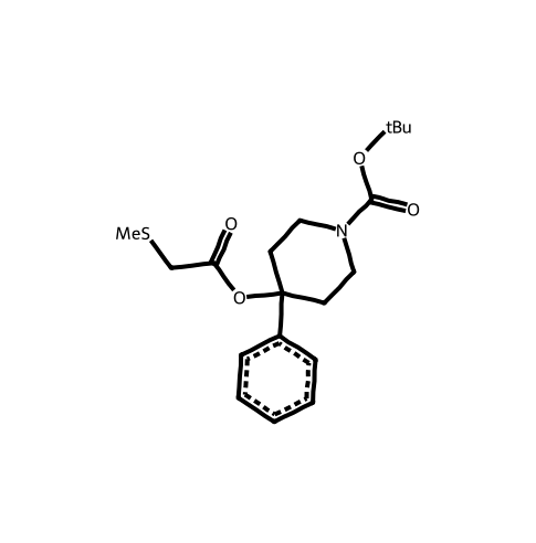 CSCC(=O)OC1(c2ccccc2)CCN(C(=O)OC(C)(C)C)CC1